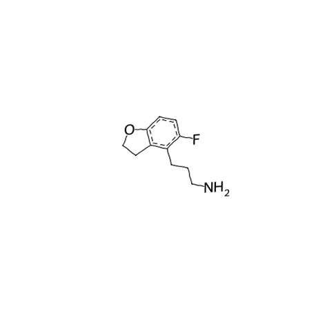 NCCCc1c(F)ccc2c1CCO2